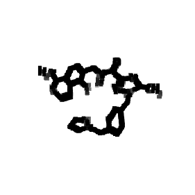 Cc1nc(C(=O)NCc2ccc3c(N)nccc3c2F)nn1Cc1ccc(Cn2cccn2)cc1